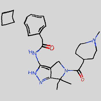 C1CCC1.CN1CCC(C(=O)N2Cc3c(n[nH]c3NC(=O)c3ccccc3)C2(C)C)CC1